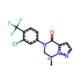 C[C@H]1CN(c2ccc(C(F)(F)F)c(Cl)c2)C(=O)c2ccnn21